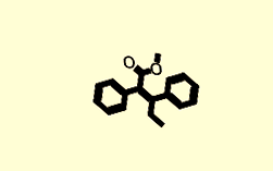 CC/C(=C(/C(=O)OC)c1ccccc1)c1ccccc1